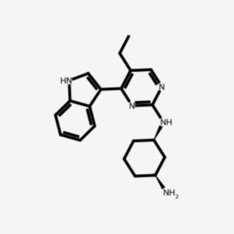 CCc1cnc(N[C@@H]2CCC[C@H](N)C2)nc1-c1c[nH]c2ccccc12